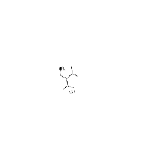 CC(C)C(CN)C(C)C.[LiH]